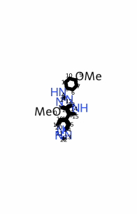 COc1nc(N[C@H]2CC[C@@H](OC)CC2)nc2[nH]cc(-c3ccn4ncnc4c3)c12